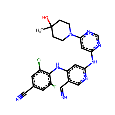 CC1(O)CCN(c2cc(Nc3cc(Nc4c(F)cc(C#N)cc4Cl)c(C=N)cn3)ncn2)CC1